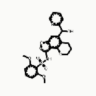 COc1cccc(OC)c1S(=O)(=O)Nc1noc2cc(C(O)c3ccccn3)c3c(c12)OCCC3